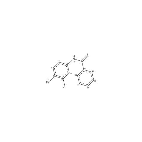 C=C(Nc1ccc(C(C)C)c(C)c1)c1ccccc1